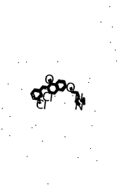 O=C1/C(=C/c2cccc(Cl)c2Cl)CCc2cc(OCCn3ccnc3)ccc21